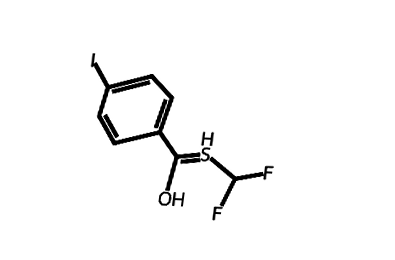 OC(=[SH]C(F)F)c1ccc(I)cc1